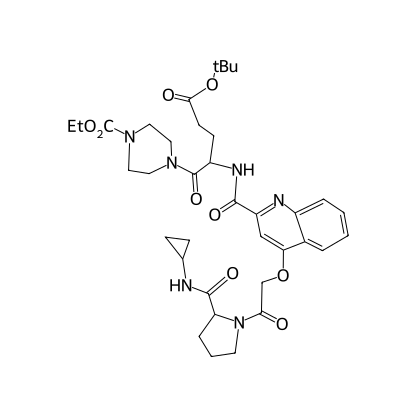 CCOC(=O)N1CCN(C(=O)C(CCC(=O)OC(C)(C)C)NC(=O)c2cc(OCC(=O)N3CCCC3C(=O)NC3CC3)c3ccccc3n2)CC1